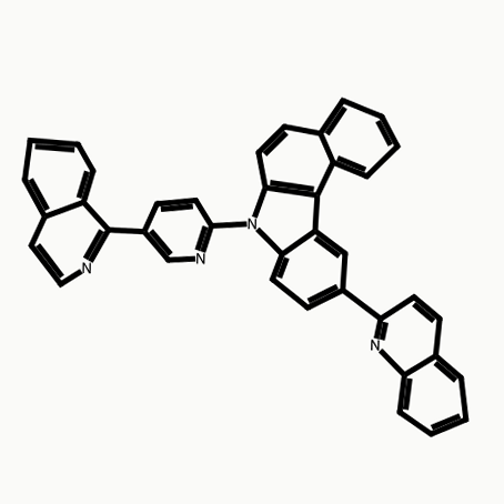 c1ccc2nc(-c3ccc4c(c3)c3c5ccccc5ccc3n4-c3ccc(-c4nccc5ccccc45)cn3)ccc2c1